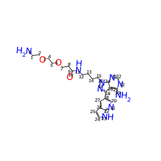 NCCOCCOCCC(=O)NCCCCn1nc(-c2cnc3[nH]ccc3c2)c2c(N)ncnc21